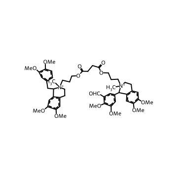 COc1ccc(CC2c3cc(OC)c(OC)cc3CC[N+]2(C)CCCOC(=O)CCC(=O)OCCC[N+]2(C)CCc3cc(OC)c(OC)cc3C2c2cc(C=O)c(OC)c(OC)c2)cc1OC